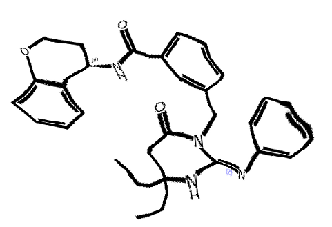 CCC1(CC)CC(=O)N(Cc2cccc(C(=O)N[C@@H]3CCOc4ccccc43)c2)/C(=N\c2ccccc2)N1